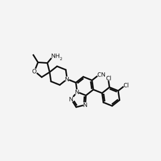 CC1OCC2(CCN(c3cc(C#N)c(-c4cccc(Cl)c4Cl)c4ncnn34)CC2)C1N